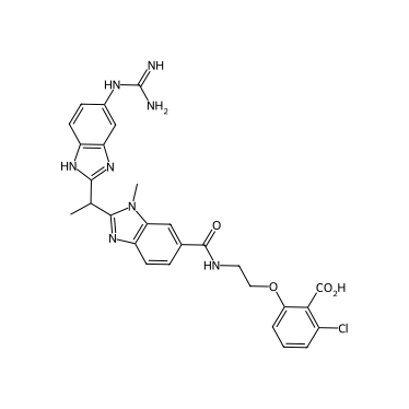 CC(c1nc2cc(NC(=N)N)ccc2[nH]1)c1nc2ccc(C(=O)NCCOc3cccc(Cl)c3C(=O)O)cc2n1C